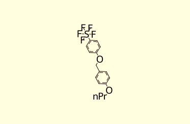 CCCOc1ccc(COc2ccc(S(F)(F)(F)(F)F)cc2)cc1